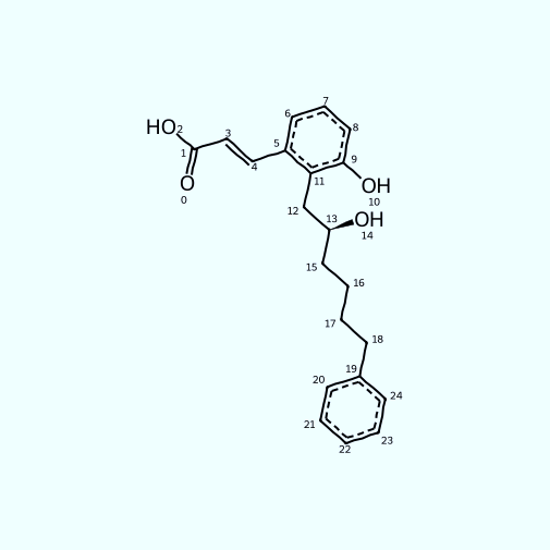 O=C(O)/C=C/c1cccc(O)c1C[C@@H](O)CCCCc1ccccc1